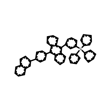 c1ccc([Si](c2ccccc2)(c2ccccc2)c2cccc(-c3c4ccccc4c(-c4ccc(-c5ccc6ccccc6c5)cc4)c4ccccc34)c2)cc1